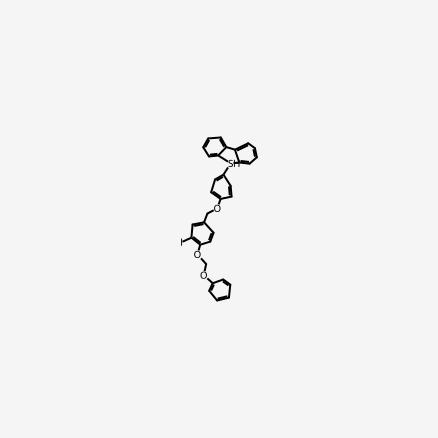 Ic1cc(COc2ccc([SH]3c4ccccc4-c4ccccc43)cc2)ccc1OCOc1ccccc1